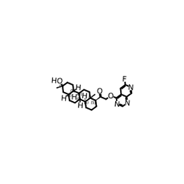 C[C@@]1(O)CC[C@H]2[C@H](CC[C@@H]3[C@@H]2CC[C@]2(C)[C@@H](C(=O)COc4ncnc5cnc(F)cc45)CCC[C@@H]32)C1